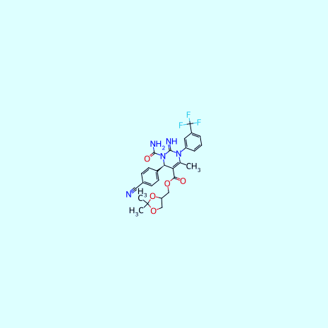 CC1=C(C(=O)OCC2COC(C)(C)O2)[C@@H](c2ccc(C#N)cc2)N(C(N)=O)C(=N)N1c1cccc(C(F)(F)F)c1